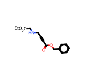 CCOC(=O)CNCC#CC(=O)OCc1ccccc1